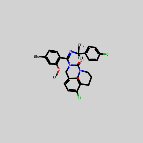 CCOc1cc(C(C)(C)C)ccc1/C(=N/C(C)(C)c1ccc(Cl)cc1)N(Cc1ccc(Cl)cc1)C(=O)N1CCCCC1